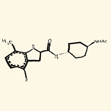 CC(=O)N[C@H]1CC[C@H](NC(=O)C2Cc3c(F)ccc(C)c3N2)CC1